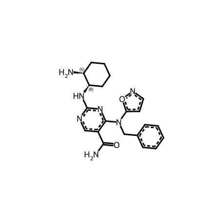 NC(=O)c1cnc(N[C@@H]2CCCC[C@@H]2N)nc1N(Cc1ccccc1)c1ccno1